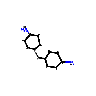 NC1CCC(C[C@H]2CC[C@@H](N)CC2)CC1